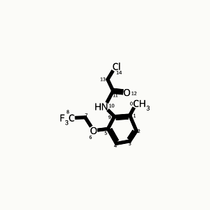 Cc1cccc(OCC(F)(F)F)c1NC(=O)CCl